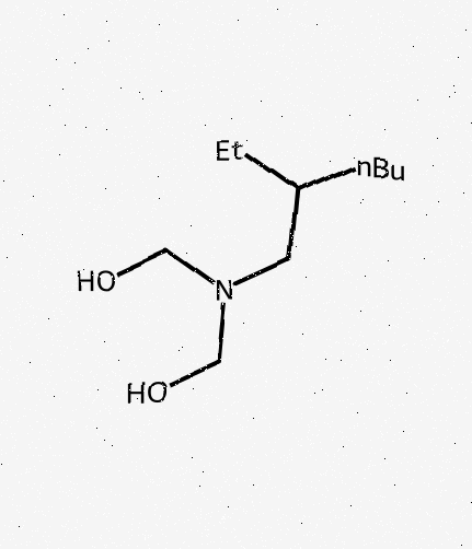 CCCCC(CC)CN(CO)CO